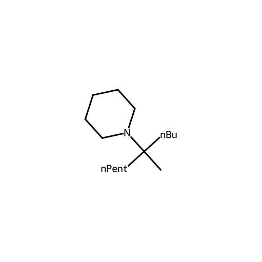 CCCCCC(C)(CCCC)N1CCCCC1